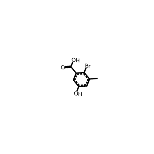 Cc1cc(O)cc(C(=O)O)c1Br